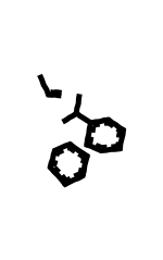 C=CC.CC(C)c1ccccc1.c1ccccc1